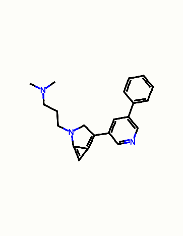 CN(C)CCCN1CC(c2cncc(-c3ccccc3)c2)=C2C=C21